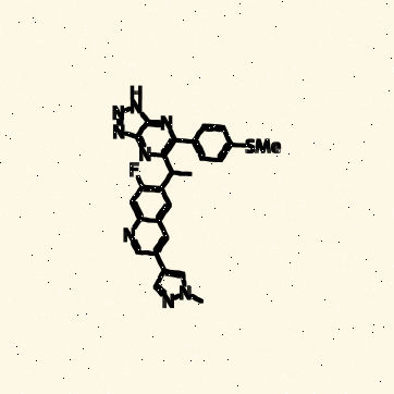 CSc1ccc(-c2nc3[nH]nnc3nc2C(C)c2cc3cc(-c4cnn(C)c4)cnc3cc2F)cc1